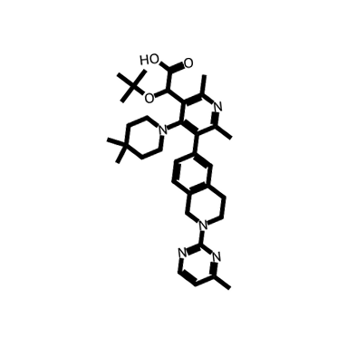 Cc1ccnc(N2CCc3cc(-c4c(C)nc(C)c(C(OC(C)(C)C)C(=O)O)c4N4CCC(C)(C)CC4)ccc3C2)n1